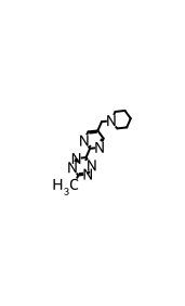 Cc1nnc(-c2ncc(CN3CCCCC3)cn2)nn1